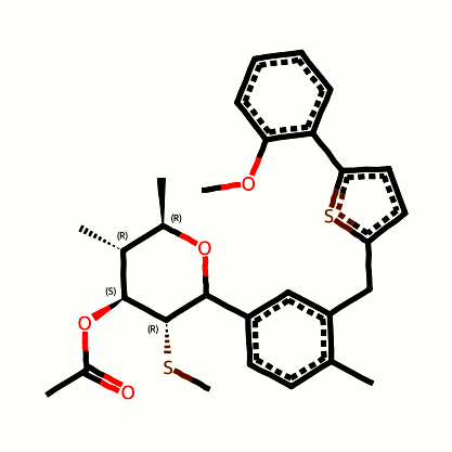 COc1ccccc1-c1ccc(Cc2cc(C3O[C@H](C)[C@@H](C)[C@H](OC(C)=O)[C@H]3SC)ccc2C)s1